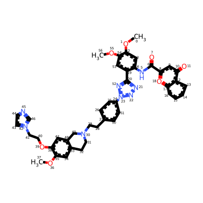 COc1cc(NC(=O)c2cc(=O)c3ccccc3o2)c(-c2nnn(-c3ccc(CCN4CCc5cc(OC)c(OCCn6ccnc6)cc5C4)cc3)n2)cc1OC